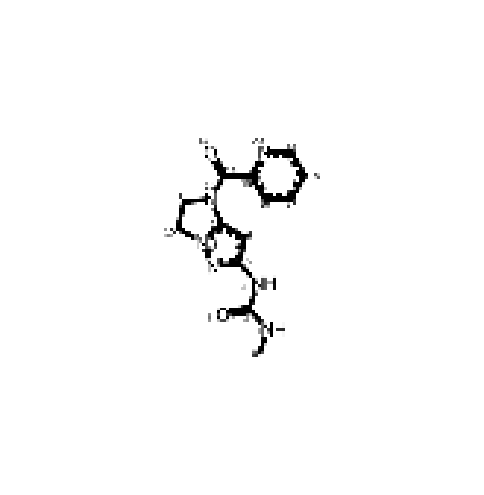 CNC(=O)Nc1cc2n(n1)CCN2C(=O)c1ccccn1